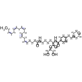 CC/C=C\C/C=C\C/C=C\C/C=C\C/C=C\CCCC(=O)NCCCCC(NC(=O)c1ccc(CCN2CCOCC2)nc1)C(=O)OC(CO)CO